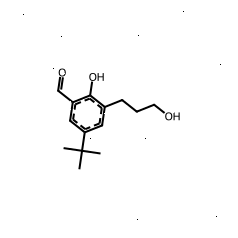 CC(C)(C)c1cc(C=O)c(O)c(CCCO)c1